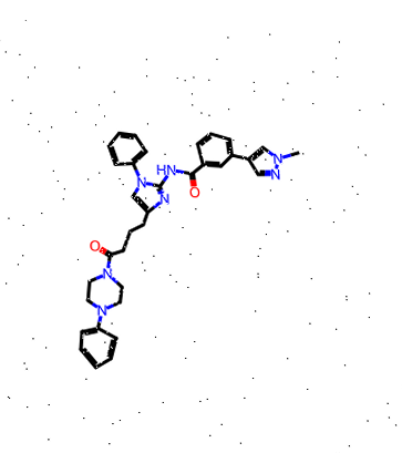 Cn1cc(-c2cccc(C(=O)Nc3nc(CCCC(=O)N4CCN(c5ccccc5)CC4)cn3-c3ccccc3)c2)cn1